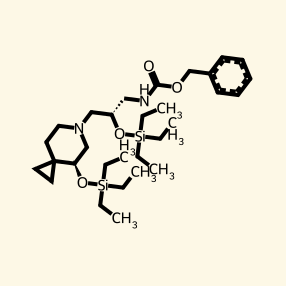 CC[Si](CC)(CC)O[C@@H](CNC(=O)OCc1ccccc1)CN1CCC2(CC2)[C@H](O[Si](CC)(CC)CC)C1